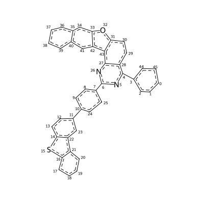 c1ccc(-c2nc(-c3ccc(-c4ccc5sc6ccccc6c5c4)cc3)nc3c2ccc2oc4cc5ccccc5cc4c23)cc1